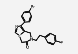 O=C1Cn2cnc(-c3ccc(Br)cc3)c2CN1CCc1ccc(F)cc1